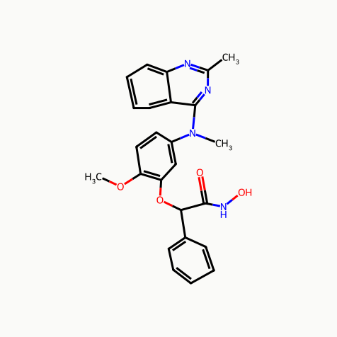 COc1ccc(N(C)c2nc(C)nc3ccccc23)cc1OC(C(=O)NO)c1ccccc1